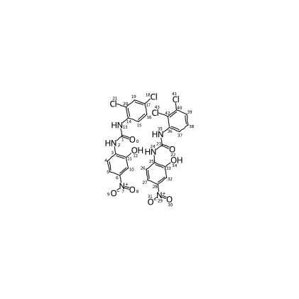 O=C(Nc1ccc([N+](=O)[O-])cc1O)Nc1ccc(Cl)cc1Cl.O=C(Nc1ccc([N+](=O)[O-])cc1O)Nc1cccc(Cl)c1Cl